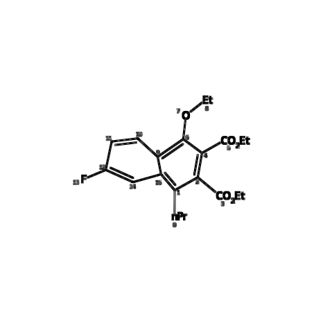 CCCc1c(C(=O)OCC)c(C(=O)OCC)c(OCC)c2ccc(F)cc12